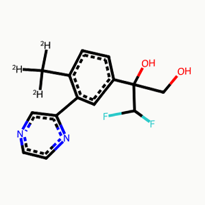 [2H]C([2H])([2H])c1ccc(C(O)(CO)C(F)F)cc1-c1cnccn1